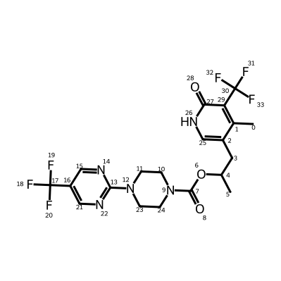 Cc1c(CC(C)OC(=O)N2CCN(c3ncc(C(F)(F)F)cn3)CC2)c[nH]c(=O)c1C(F)(F)F